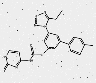 CCc1nnnn1-c1cc(OC(=O)Nc2cc[nH]c(=O)n2)cc(-c2ccc(C)cc2)c1